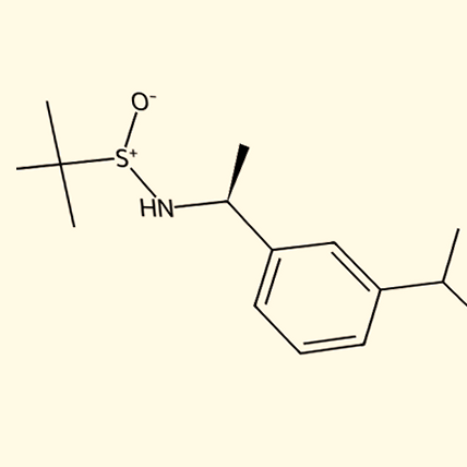 CC(C)c1cccc([C@H](C)N[S+]([O-])C(C)(C)C)c1